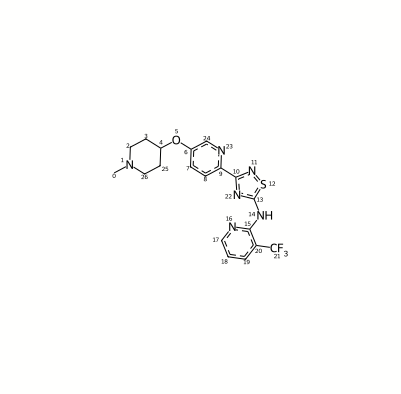 CN1CCC(Oc2ccc(-c3nsc(Nc4ncccc4C(F)(F)F)n3)nc2)CC1